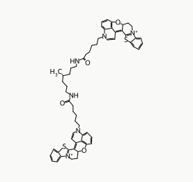 CC(CCCNC(=O)CCCCCN1C=CC2=C3c4sc5ccccc5[n+]4CCC3Oc3cccc1c32)CCCNC(=O)CCCCCN1C=CC2=C3c4sc5ccccc5[n+]4CCC3Oc3cccc1c32